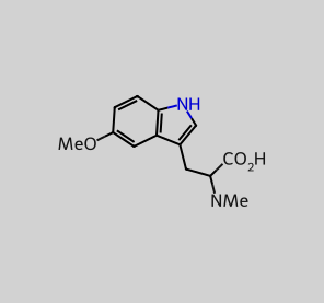 CNC(Cc1c[nH]c2ccc(OC)cc12)C(=O)O